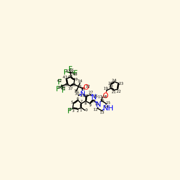 Cc1cc(F)ccc1-c1cc(N2CCNCC2COCc2ccccc2)ncc1N(C)C(=O)C(C)(C)c1cc(C(F)(F)F)cc(C(F)(F)F)c1